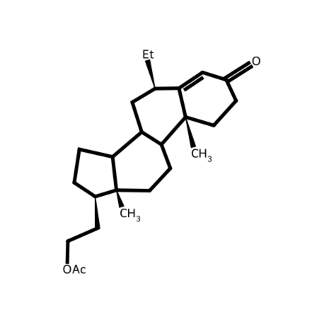 CC[C@@H]1CC2C(CC[C@@]3(C)C2CC[C@@H]3CCOC(C)=O)[C@@]2(C)CCC(=O)C=C12